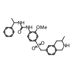 COc1cc(S(=O)(=O)Cc2ccc3c(c2)CC(C)NC3)ccc1NC(=O)NC(C)c1ccccc1